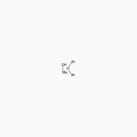 CC(C)(C)O.CC(C)OC(C)C